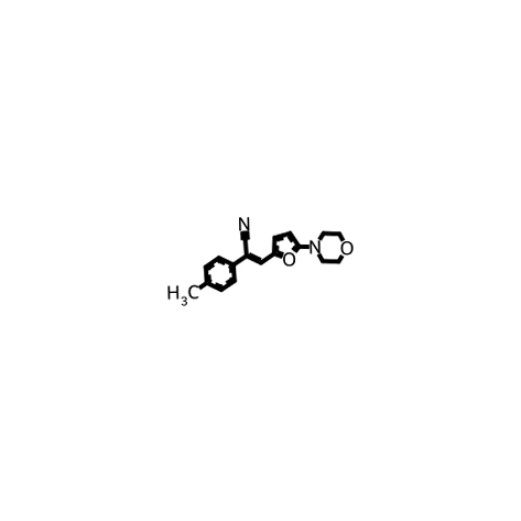 Cc1ccc(C(C#N)=Cc2ccc(N3CCOCC3)o2)cc1